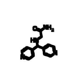 NC(=O)CNC(c1ccncc1)c1ccncc1